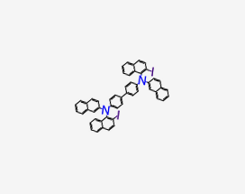 Ic1ccc2ccccc2c1N(c1ccc(-c2ccc(N(c3ccc4ccccc4c3)c3c(I)ccc4ccccc34)cc2)cc1)c1ccc2ccccc2c1